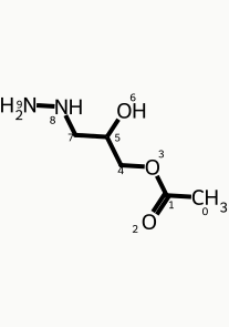 CC(=O)OCC(O)CNN